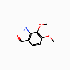 COc1ccc(C=O)c(N)c1OC